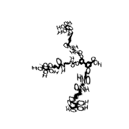 C[C@@H]1OC(OCCCC(=O)NCCNC(=O)COc2cc(OCC(=O)NCCNC(=O)CCCOC3O[C@@H](C)C(O)C(O)[C@@H]3O)cc(-c3cc(OCC(=O)NCCNC(=O)CCCOC4O[C@@H](C)C(O)C(O)[C@@H]4O)cc(C(=O)O)c3)c2)[C@@H](O)C(O)C1O